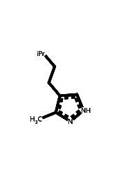 Cc1n[nH]cc1CCC(C)C